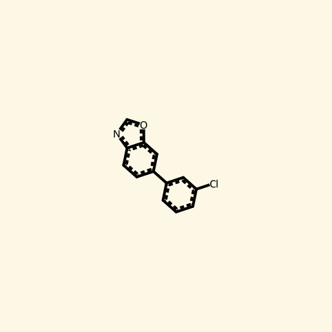 Clc1cccc(-c2ccc3ncoc3c2)c1